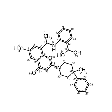 Cc1cc(C(C)Nc2ccccc2C(O)O)c2oc(N3CCC(C)(c4ccccc4)CC3)cc(=O)c2c1